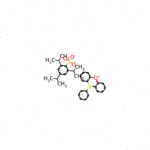 CC(C)c1cc(C(C)C)c(S(=O)(=O)[O-])c(C(C)C)c1.c1ccc(S2=c3ccccc3=[O+]c3ccccc32)cc1